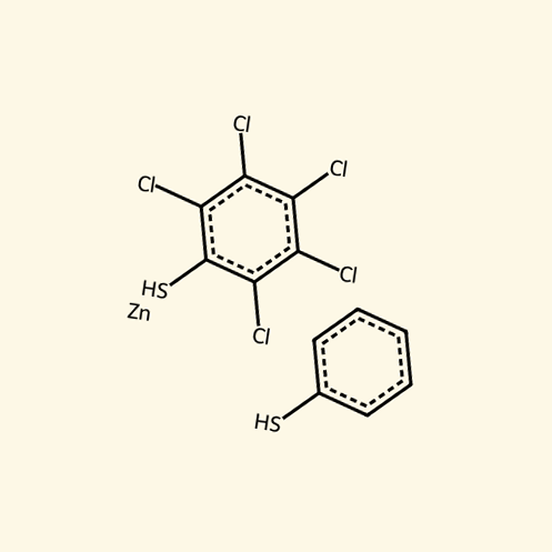 Sc1c(Cl)c(Cl)c(Cl)c(Cl)c1Cl.Sc1ccccc1.[Zn]